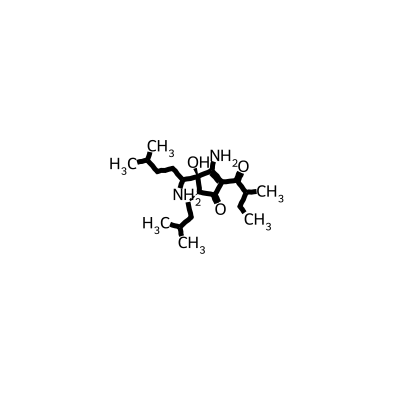 CCC(C)C(=O)C1=C(N)[C@@](O)(C(N)CCC(C)C)[C@@H](CCC(C)C)C1=O